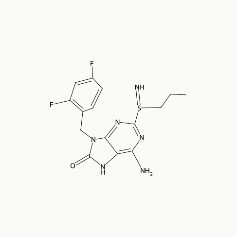 CCCS(=N)c1nc(N)c2[nH]c(=O)n(Cc3ccc(F)cc3F)c2n1